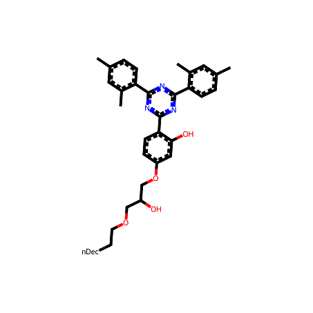 CCCCCCCCCCCCOCC(O)COc1ccc(-c2nc(-c3ccc(C)cc3C)nc(-c3ccc(C)cc3C)n2)c(O)c1